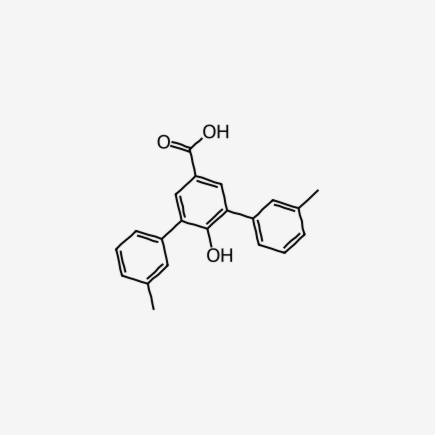 Cc1cccc(-c2cc(C(=O)O)cc(-c3cccc(C)c3)c2O)c1